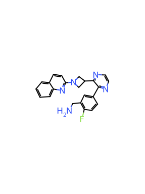 NCc1cc(-c2nccnc2C2CN(c3ccc4ccccc4n3)C2)ccc1F